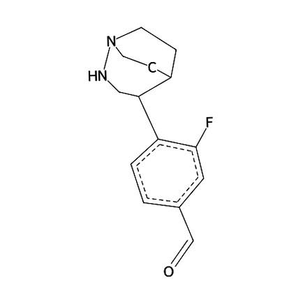 O=Cc1ccc(C2CNN3CCC2CC3)c(F)c1